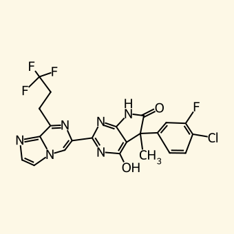 CC1(c2ccc(Cl)c(F)c2)C(=O)Nc2nc(-c3cn4ccnc4c(CCC(F)(F)F)n3)nc(O)c21